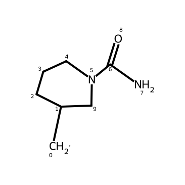 [CH2]C1CCCN(C(N)=O)C1